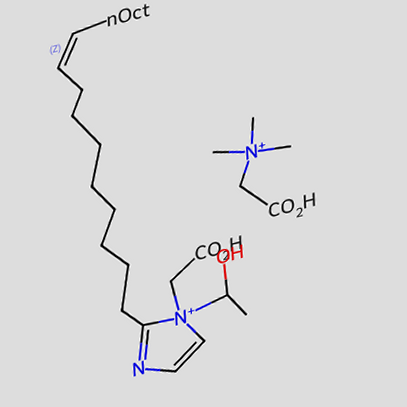 CCCCCCCC/C=C\CCCCCCCCC1=NC=C[N+]1(CC(=O)O)C(C)O.C[N+](C)(C)CC(=O)O